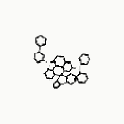 c1ccc(-c2cccc(-n3c4cccc5c4c4c6c(cc(N(c7ccccc7)c7ccccc7)cc6ccc43)C53c4ccccc4-c4ccccc43)c2)cc1